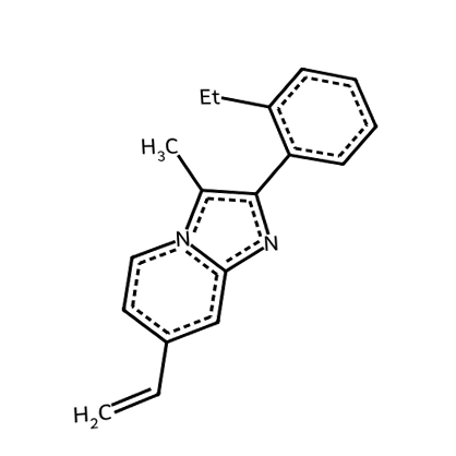 C=Cc1ccn2c(C)c(-c3ccccc3CC)nc2c1